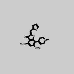 COc1cc(OC)c(C2=CCN(C)CC2)c2c1C(=O)/C(=C/c1cccs1)O2